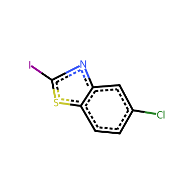 Clc1ccc2sc(I)nc2c1